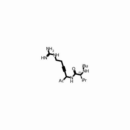 CCC(C)N[C@H](C(=O)NC(C#CCCNC(=N)N)C(C)=O)C(C)C